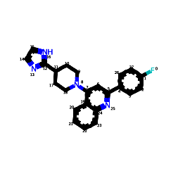 Fc1ccc(-c2cc(N3CCC(c4ncc[nH]4)CC3)c3ccccc3n2)cc1